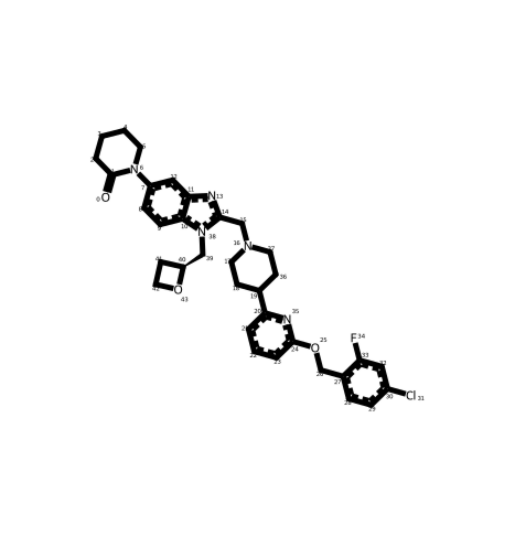 O=C1CCCCN1c1ccc2c(c1)nc(CN1CCC(c3cccc(OCc4ccc(Cl)cc4F)n3)CC1)n2C[C@@H]1CCO1